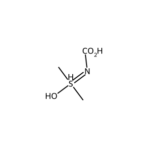 C[SH](C)(O)=NC(=O)O